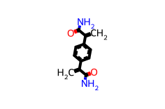 C=C(C(N)=O)c1ccc(C(=C)C(N)=O)cc1